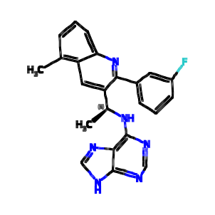 Cc1cccc2nc(-c3cccc(F)c3)c([C@H](C)Nc3ncnc4[nH]cnc34)cc12